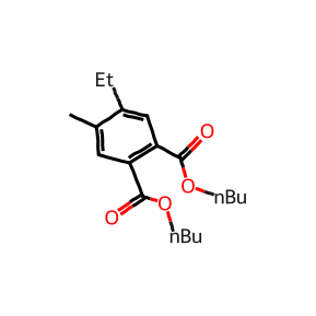 CCCCOC(=O)c1cc(C)c(CC)cc1C(=O)OCCCC